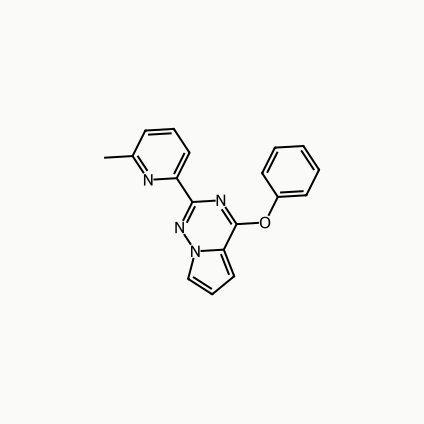 Cc1cccc(-c2nc(Oc3ccccc3)c3cccn3n2)n1